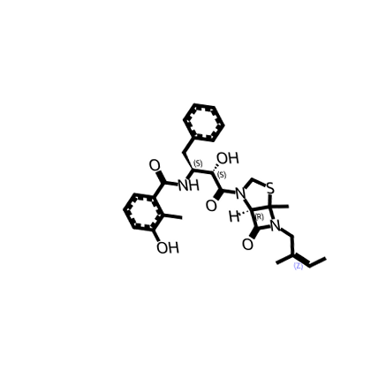 C/C=C(/C)CN1C(=O)[C@H]2N(C(=O)[C@@H](O)[C@H](Cc3ccccc3)NC(=O)c3cccc(O)c3C)CSC21C